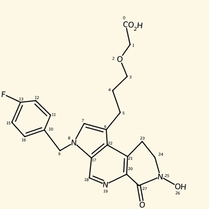 O=C(O)COCCCc1cn(Cc2ccc(F)cc2)c2cnc3c(c12)CCN(O)C3=O